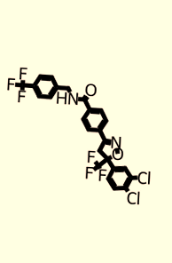 O=C(NCc1ccc(C(F)(F)F)cc1)c1ccc(C2=NOC(c3ccc(Cl)c(Cl)c3)(C(F)(F)F)C2)cc1